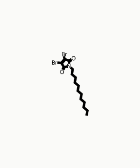 CCCCCCCCCCCCN1C(=O)C(Br)=C(Br)C1=O